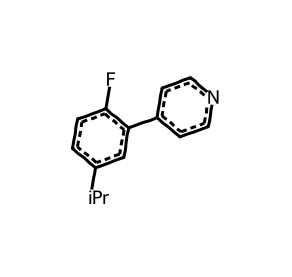 CC(C)c1ccc(F)c(-c2ccncc2)c1